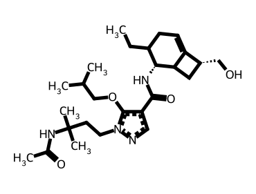 CCC1CC=C2C(C[C@H]2CO)[C@@H]1NC(=O)c1cnn(CCC(C)(C)NC(C)=O)c1OCC(C)C